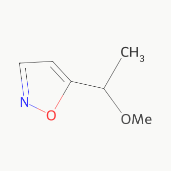 COC(C)c1ccno1